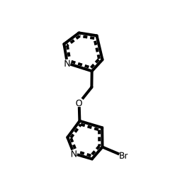 Brc1cncc(OCc2ccccn2)c1